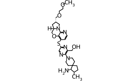 COCCOC[C@H]1C[C@H]2COc3c(Sc4cnc(N5CCC6(CC[C@@H](C)[C@H]6N)CC5)c(CO)n4)ccnc3N2C1